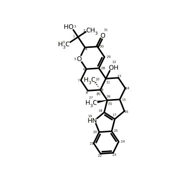 CC(C)(O)C1OC2CC[C@@]3(C)C(O)(CCC4Cc5c([nH]c6ccccc56)[C@@]43C)C2=CC1=O